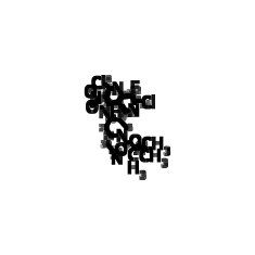 CC(C)(C)OC(=O)N1CC[C@H](Nc2c([N+](=O)[O-])c(Cl)nc3c(F)c(Cl)ncc23)C[C@H]1CC#N